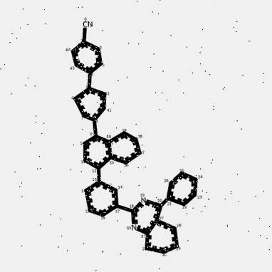 N#Cc1ccc(-c2ccc(-c3ccc(-c4cccc(-c5nc(-c6ccccc6)c6ccccc6n5)c4)c4ccccc34)cc2)cc1